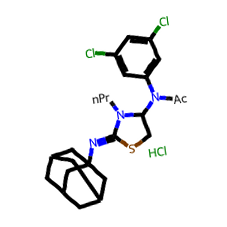 CCCN1C(=NC23CC4CC(CC(C4)C2)C3)SCC1N(C(C)=O)c1cc(Cl)cc(Cl)c1.Cl